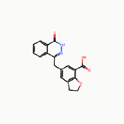 O=C(O)c1cc(Cc2n[nH]c(=O)c3ccccc23)cc2c1OCC2